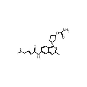 Cc1nc(N2CCC(OC(N)=O)C2)c2ccc(NC(=O)C=CCN(C)C)cc2n1